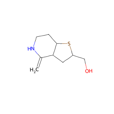 C=C1NCCC2SC(CO)CC12